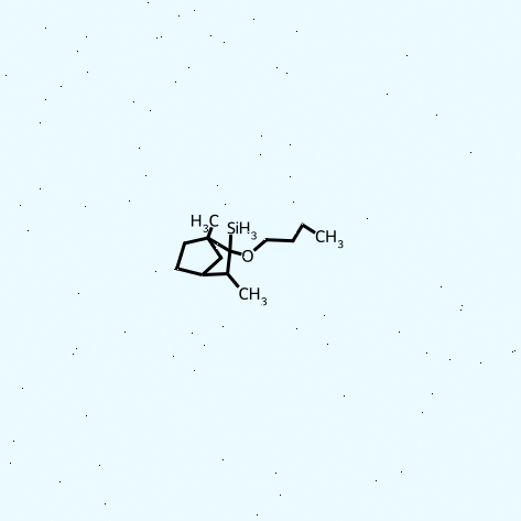 CCCCOC1([SiH3])C(C)C2CCC1(C)C2